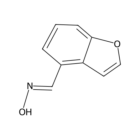 ON=Cc1cccc2occc12